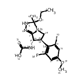 CCOC1(C)NN=C2[C@@H](NC(=O)O)[C@H](c3c(F)cc(OC)cc3F)CN21